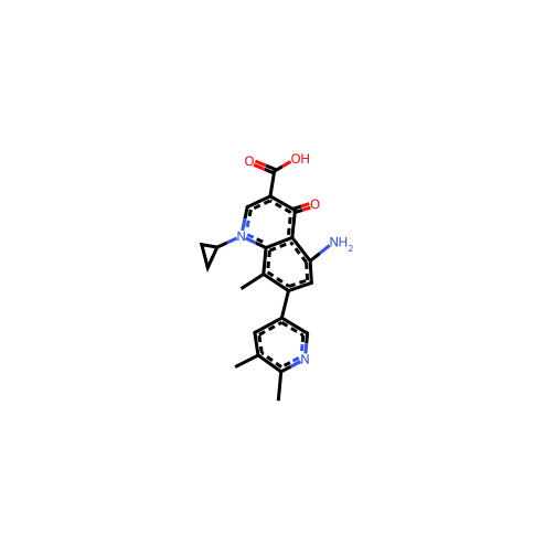 Cc1cc(-c2cc(N)c3c(=O)c(C(=O)O)cn(C4CC4)c3c2C)cnc1C